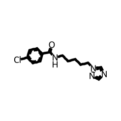 O=C(NCCCCCn1cncn1)c1ccc(Cl)cc1